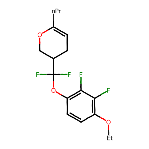 CCCC1=CCC(C(F)(F)Oc2ccc(OCC)c(F)c2F)CO1